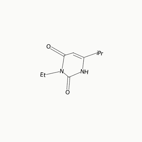 CCn1c(=O)cc(C(C)C)[nH]c1=O